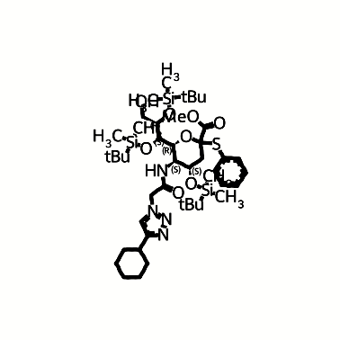 COC(=O)C1(Sc2ccccc2)C[C@H](O[Si](C)(C)C(C)(C)C)[C@@H](NC(=O)Cn2cc(C3CCCCC3)nn2)[C@H]([C@H](O[Si](C)(C)C(C)(C)C)[C@@H](CO)O[Si](C)(C)C(C)(C)C)O1